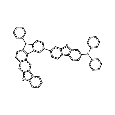 c1ccc(C2c3ccc(-c4ccc5c(c4)sc4cc(N(c6ccccc6)c6ccccc6)ccc45)cc3-c3c2ccc2cc4sc5ccccc5c4cc32)cc1